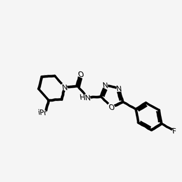 CC(C)C1CCCN(C(=O)Nc2nnc(-c3ccc(F)cc3)o2)C1